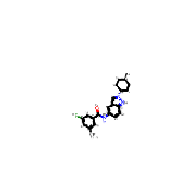 C[C@H]1CC[C@H](n2cc3cc(NC(=O)c4cc(F)cc(C(F)(F)F)c4)ccc3n2)CC1